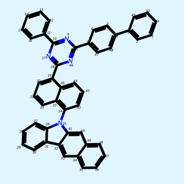 c1ccc(-c2ccc(-c3nc(-c4ccccc4)nc(-c4cccc5c(-n6c7ccccc7c7cc8ccccc8cc76)cccc45)n3)cc2)cc1